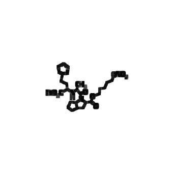 CCOC(=O)C(CCc1ccccc1)NC(C)C(=O)N1C(C(=O)OCCCCCO[N+](=O)[O-])CC2CCCC21